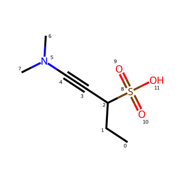 CCC(C#CN(C)C)S(=O)(=O)O